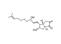 C=C1C[C@H]2[C@H](/C=C/[C@@H](O)CCCCC=C(C)C)[C@H](O)C[C@@H]2C1=O